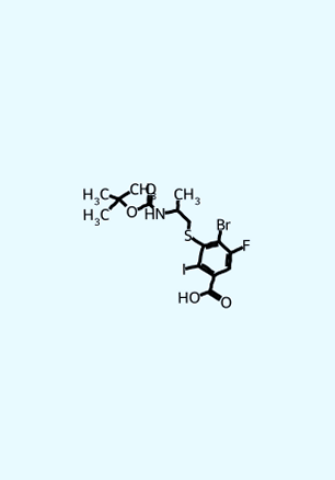 CC(CSc1c(Br)c(F)cc(C(=O)O)c1I)NC(=O)OC(C)(C)C